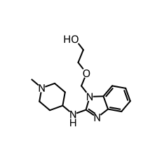 CN1CCC(Nc2nc3ccccc3n2COCCO)CC1